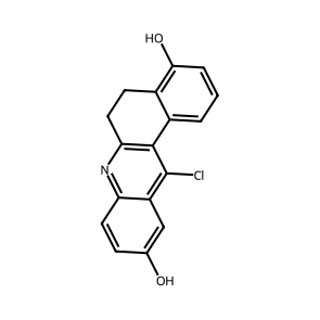 Oc1ccc2nc3c(c(Cl)c2c1)-c1cccc(O)c1CC3